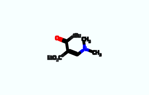 CCOC(=O)C(=CN(C)C)C(=O)C(C)(C)C